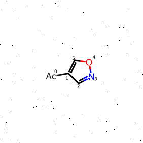 CC(=O)c1cnoc1